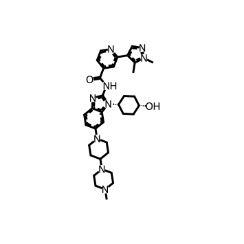 Cc1c(-c2cc(C(=O)Nc3nc4ccc(N5CCC(N6CCN(C)CC6)CC5)cc4n3[C@H]3CC[C@@H](O)CC3)ccn2)cnn1C